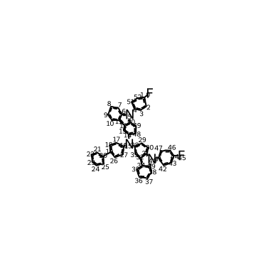 Fc1ccc(-n2c3ccccc3c3cc(N(c4ccc(-c5ccccc5)cc4)c4ccc5c(c4)c4ccccc4n5-c4ccc(F)cc4)ccc32)cc1